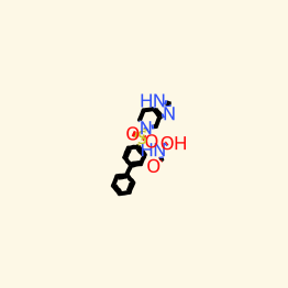 O=CNO.O=S(=O)(c1ccc(-c2ccccc2)cc1)N1CCc2[nH]cnc2C1